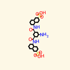 Nc1cc(C(=O)Nc2cccc3cc(S(=O)(=O)O)ccc23)cc(C(=O)Nc2cccc3cc(S(=O)(=O)O)ccc23)c1